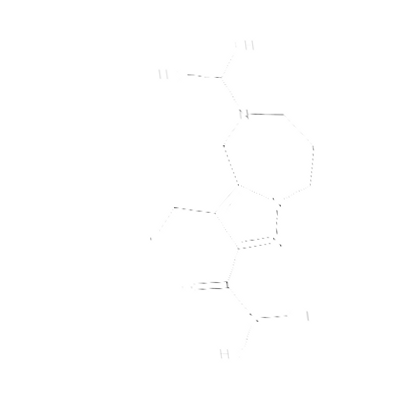 CCc1c(C(=O)N(C)C)nn2c1CN(C(C)C)CCC2